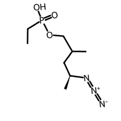 CCP(=O)(O)OCC(C)C[C@H](C)N=[N+]=[N-]